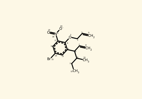 C=CCOc1c(C(C=C)C(C)CC)cc(Br)cc1[N+](=O)[O-]